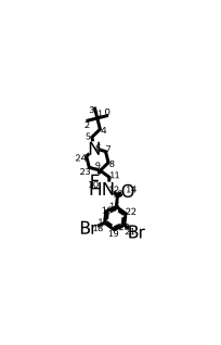 CC(C)(C)CCN1CCC(F)(CNC(=O)c2cc(Br)cc(Br)c2)CC1